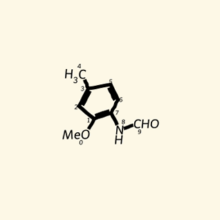 COc1cc(C)ccc1NC=O